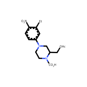 CCc1cc(N2CCN(C(=O)O)C(COC(C)=O)C2)ccc1[N+](=O)[O-]